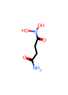 NC(=O)CCC(=O)N(O)O